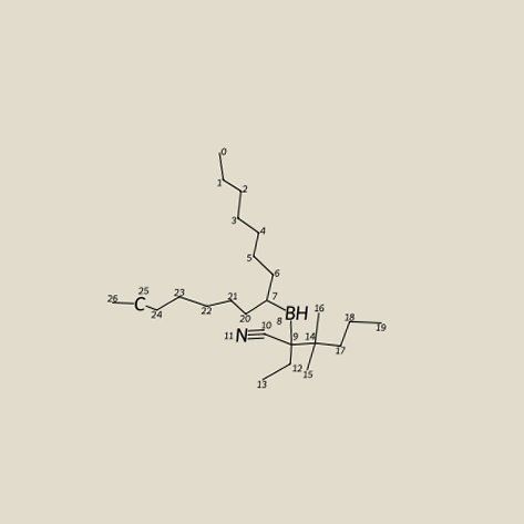 CCCCCCCC(BC(C#N)(CC)C(C)(C)CCC)CCCCCCC